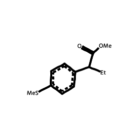 CCC(C(=O)OC)c1ccc(SC)cc1